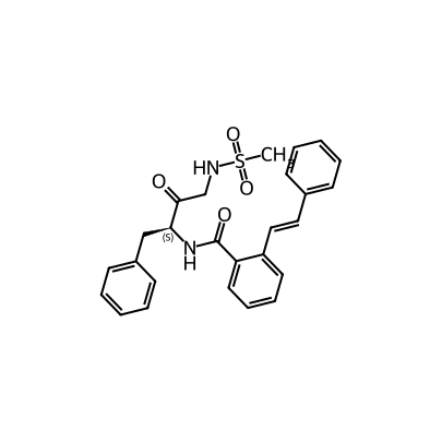 CS(=O)(=O)NCC(=O)[C@H](Cc1ccccc1)NC(=O)c1ccccc1C=Cc1ccccc1